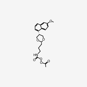 COc1ccc2c(cccc2[C@H]2CO[C@H](CCCNC(=O)OOC(C)=O)OC2)c1